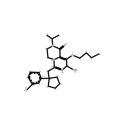 CCCCOC1=C2C(=O)N(C(C)C)CCN2C(CC2(c3cccc(Cl)c3)CCCC2)=NC1O